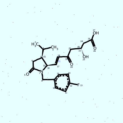 CC(C)[C@@H]1CC(=O)N(Cc2ccc(F)cc2)[C@@H]1/C=C/C(=O)C[C@@H](O)CC(=O)O